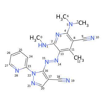 CNc1nc(N(C)C)c(C#N)c(C)c1/N=N/c1c(C#N)cnn1-c1ccccn1